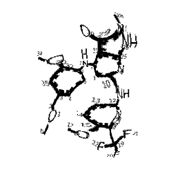 COCc1ccc(Nc2cc(Nc3ccc(OC)c(C(F)(F)F)n3)nc3[nH]n(C)c(=O)c23)c(OC)c1